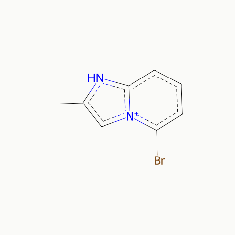 Cc1c[n+]2c(Br)cccc2[nH]1